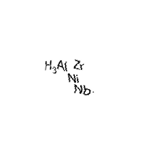 [AlH3].[Nb].[Ni].[Zr]